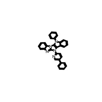 c1ccc(-c2ccc(-n3c4c5ccccc5n(-c5ccccc5)c4n4c5ccccc5nc34)nc2)cc1